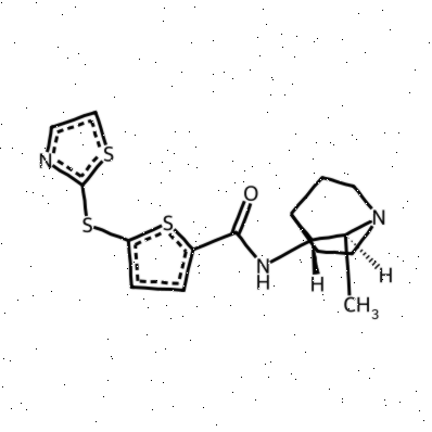 C[C@H]1[C@H](NC(=O)c2ccc(Sc3nccs3)s2)C2CCN1CC2